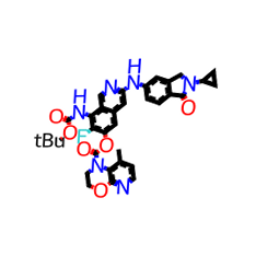 Cc1ccnc2c1N(C(=O)Oc1cc3cc(Nc4ccc5c(c4)CN(C4CC4)C5=O)ncc3c(NC(=O)OC(C)(C)C)c1F)CCO2